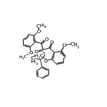 COc1cccc(OC)c1C(=O)P(=O)(CC(C)c1ccccc1)C(=O)c1c(OC)cccc1OC